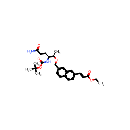 CCOC(=O)/C=C/c1ccc2ccc(CO[C@H](C)[C@H](CCC(N)=O)NC(=O)OC(C)(C)C)cc2c1